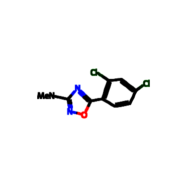 CNc1noc(-c2ccc(Cl)cc2Cl)n1